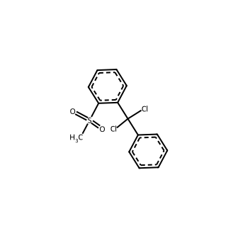 CS(=O)(=O)c1ccccc1C(Cl)(Cl)c1ccccc1